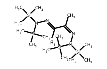 CC(=NN([Si](C)(C)C)[Si](C)(C)C)C(C)=NN([Si](C)(C)C)[Si](C)(C)C